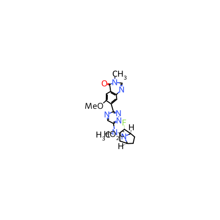 COc1cc2c(=O)n(C)cnc2cc1-c1ncc(N(C)[C@H]2C[C@@H]3CC[C@H]([C@H]2F)N3C(=O)O)nn1